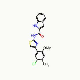 COc1cc(C)c(Cl)cc1-c1csc(NC(=O)c2cc3ccccc3[nH]2)n1